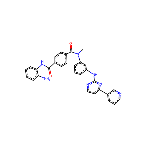 CN(C(=O)c1ccc(C(=O)Nc2ccccc2N)cc1)c1cccc(Nc2nccc(-c3cccnc3)n2)c1